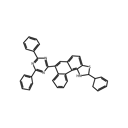 C1=CCC(C2Nc3c(ccc4cc(-c5nc(-c6ccccc6)nc(-c6ccccc6)n5)c5ccccc5c34)S2)C=C1